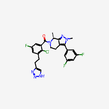 C[C@H]1c2nn(C)c(-c3cc(F)cc(F)c3)c2CCN1C(=O)c1cc(F)cc(CCc2c[nH]nn2)c1Cl